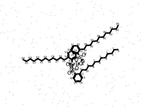 CCCCCCCCCCCCc1ccccc1S(=O)(=O)[O][Ti](=[O])([O]S(=O)(=O)c1ccccc1CCCCCCCCCCCC)[S](=O)(=O)c1ccccc1CCCCCCCCCCCC